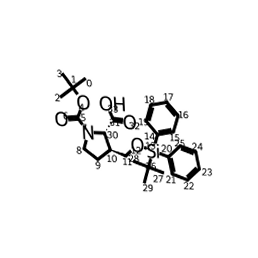 CC(C)(C)OC(=O)N1CC[C@H](CO[Si](c2ccccc2)(c2ccccc2)C(C)(C)C)[C@H]1C(=O)O